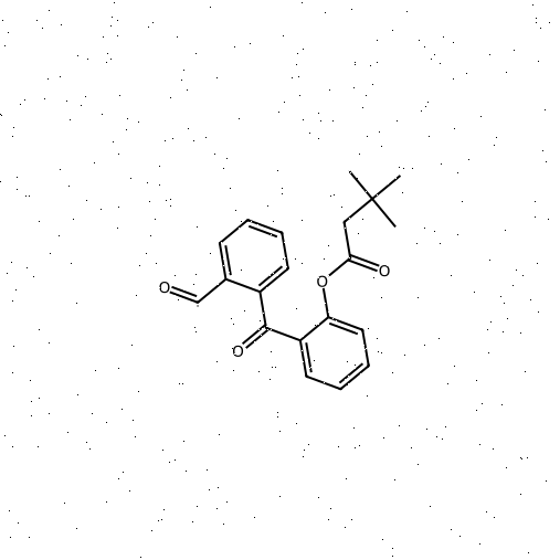 CC(C)(C)CC(=O)Oc1ccccc1C(=O)c1ccccc1[C]=O